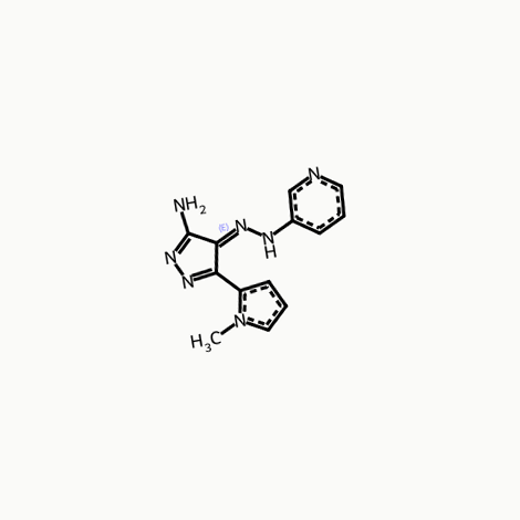 Cn1cccc1C1=NN=C(N)/C1=N/Nc1cccnc1